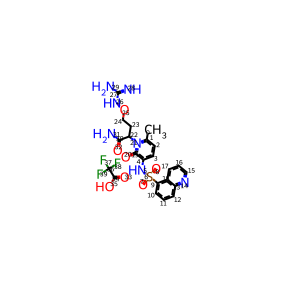 Cc1ccc(NS(=O)(=O)c2cccc3ncccc23)c(=O)n1C(CCONC(=N)N)C(N)=O.O=C(O)C(F)(F)F